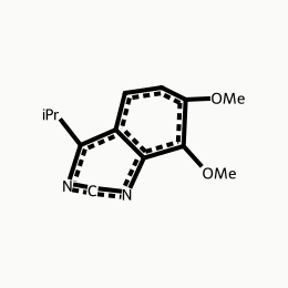 COc1ccc2c(C(C)C)ncnc2c1OC